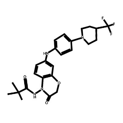 CC(C)(C)C(=O)NN1C(=O)COc2cc(Nc3ccc(N4CCC(C(F)(F)F)CC4)cc3)ccc21